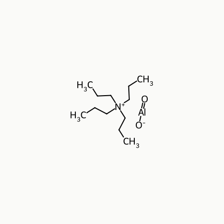 CCC[N+](CCC)(CCC)CCC.[O]=[Al][O-]